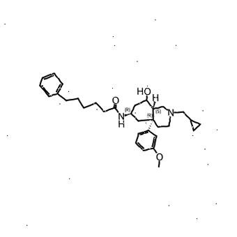 COc1cccc([C@@]23CCN(CC4CC4)C[C@H]2C(O)C[C@H](NC(=O)CCCCCc2ccccc2)C3)c1